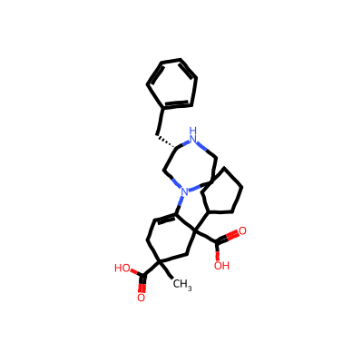 CC1(C(=O)O)CC=C(N2CCN[C@@H](Cc3ccccc3)C2)C(C(=O)O)(C2CCCC2)C1